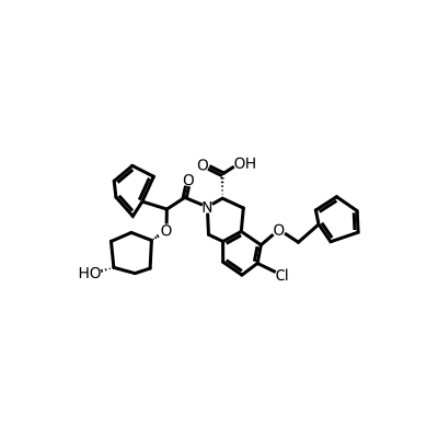 O=C(O)[C@@H]1Cc2c(ccc(Cl)c2OCc2ccccc2)CN1C(=O)C(O[C@H]1CC[C@@H](O)CC1)c1ccccc1